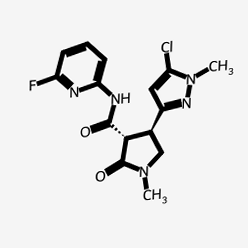 CN1C[C@H](c2cc(Cl)n(C)n2)[C@@H](C(=O)Nc2cccc(F)n2)C1=O